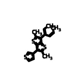 C/C=C\C(=C/C)c1c(C)sc2c(-c3ccsc3)c(C)sc12